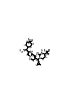 NC(c1cn2ncc(C(C3CC3)N3CCC(C(F)(F)F)NC3=O)cc2n1)C1CCC(F)(F)CC1